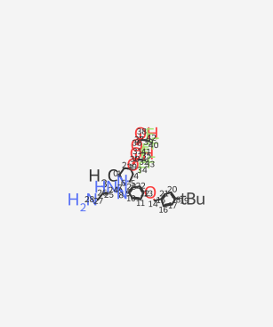 CC1CCCCN1/C(=N\c1ccc(OCc2ccc(C(C)(C)C)cc2)cc1)NCCCN.O=C(O)C(F)(F)F.O=C(O)C(F)(F)F